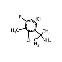 Cc1c(F)ccc(C(C)(C)N)c1Cl.Cl